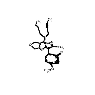 CC#CCN(CCCC)c1c2c(nc3c(-c4ccc(OC)cc4Cl)c(C)nn13)COC2